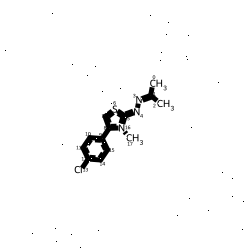 CC(C)=N/N=c1\scc(-c2ccc(Cl)cc2)n1C